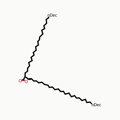 CCCCCCCCCCCCCCCCCCCCCCCCCCCCCCCC/C=C1\OC(=O)C1CCCCCCCCCCCCCCCCCCCCCCCCCCCCCCCC